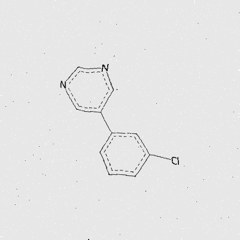 Clc1cccc(-c2[c]ncnc2)c1